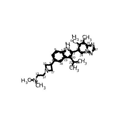 Cc1c(-c2[nH]c3ccc(C4CN(CCN(C)C)C4)cc3c2C(C)C)cn2ncnc2c1C